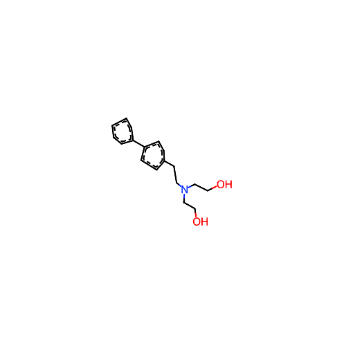 OCCN(CCO)CCc1ccc(-c2ccccc2)cc1